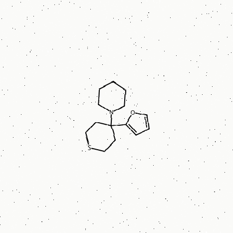 c1coc(C2(N3CCCCC3)CCSCC2)c1